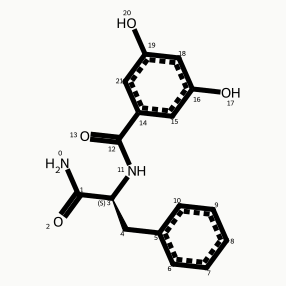 NC(=O)[C@H](Cc1ccccc1)NC(=O)c1cc(O)cc(O)c1